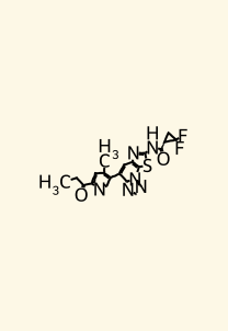 CCC(=O)c1cc(C)c(-c2cc3nc(NC(=O)[C@H]4CC4(F)F)sc3n3ncnc23)cn1